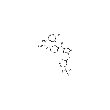 O=C1Nc2ccc(Cl)c(F)c2[C@@]2(CCCN(C(=O)c3cnn(Cc4cccc(C(F)(F)F)c4)c3)C2)O1